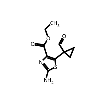 CCOC(=O)c1nc(N)sc1C1(C=O)CC1